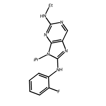 CCNc1ncc2nc(Nc3ccccc3F)n(C(C)C)c2n1